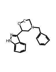 c1ccc(CN2CCOC(c3n[nH]c4ccccc34)C2)cc1